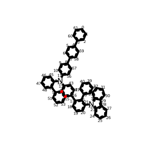 c1ccc(-c2ccc(-c3ccc(N(c4ccc(-c5cccc(-n6c7ccccc7c7ccccc76)c5-c5ccccc5)cc4)c4ccccc4-c4ccccc4)cc3)cc2)cc1